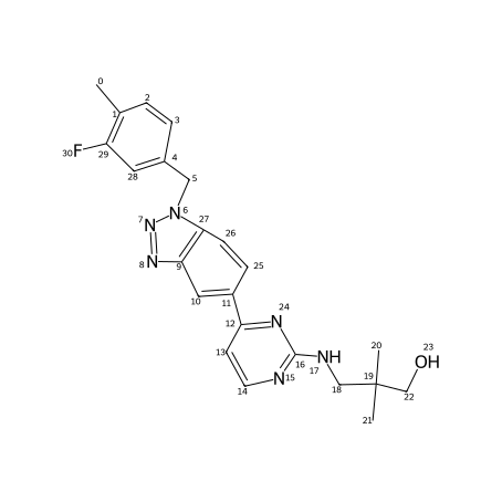 Cc1ccc(Cn2nnc3cc(-c4ccnc(NCC(C)(C)CO)n4)ccc32)cc1F